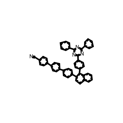 N#Cc1ccc(-c2ccc(-c3ccc(-c4ccc5ccccc5c4-c4ccc(-c5nc(-c6ccccc6)nc(-c6ccccc6)n5)cc4)cc3)cc2)cc1